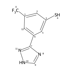 FC(F)(F)c1cc(S)cc(-c2nc[nH]n2)c1